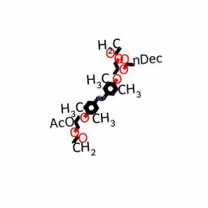 C=CC(=O)OCC(COc1c(C)cc(/C=C/c2cc(C)c(OCC(COC(=O)C=C)OC(=O)CCCCCCCCCCC)c(C)c2)cc1C)OC(C)=O